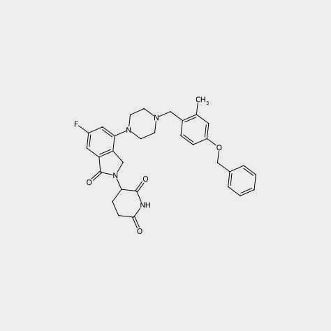 Cc1cc(OCc2ccccc2)ccc1CN1CCN(c2cc(F)cc3c2CN(C2CCC(=O)NC2=O)C3=O)CC1